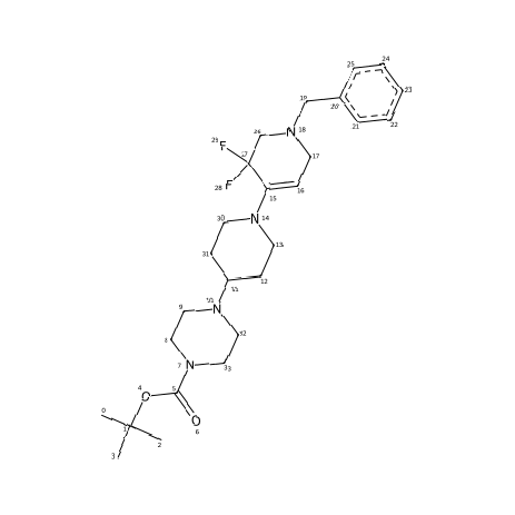 CC(C)(C)OC(=O)N1CCN(C2CCN(C3=CCN(Cc4ccccc4)CC3(F)F)CC2)CC1